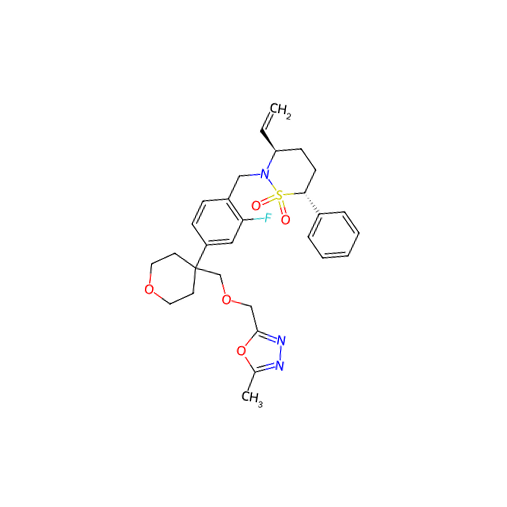 C=C[C@H]1CC[C@H](c2ccccc2)S(=O)(=O)N1Cc1ccc(C2(COCc3nnc(C)o3)CCOCC2)cc1F